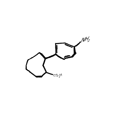 Nc1ccc(C2CCCCC2C(=O)O)cc1